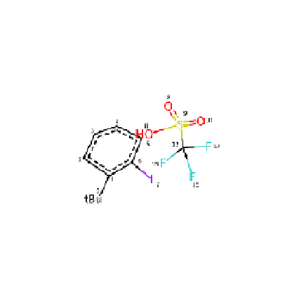 CC(C)(C)c1ccccc1I.O=S(=O)(O)C(F)(F)F